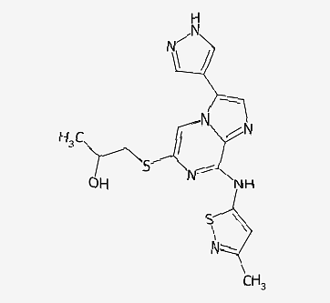 Cc1cc(Nc2nc(SCC(C)O)cn3c(-c4cn[nH]c4)cnc23)sn1